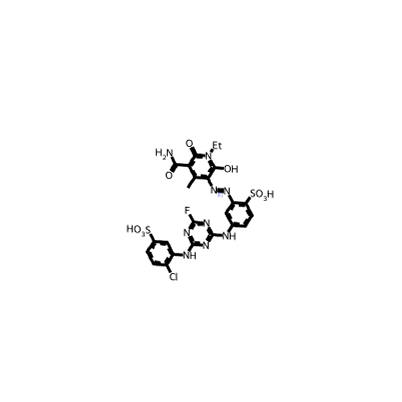 CCn1c(O)c(/N=N/c2cc(Nc3nc(F)nc(Nc4cc(S(=O)(=O)O)ccc4Cl)n3)ccc2S(=O)(=O)O)c(C)c(C(N)=O)c1=O